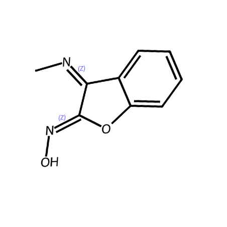 C/N=C1\C(=N\O)Oc2ccccc21